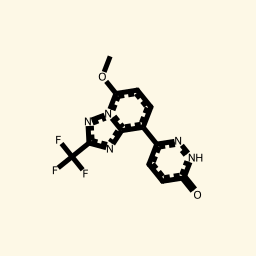 COc1ccc(-c2ccc(=O)[nH]n2)c2nc(C(F)(F)F)nn12